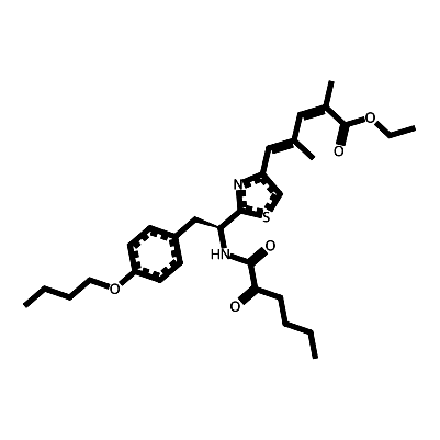 CCCCOc1ccc(C[C@H](NC(=O)C(=O)CCCC)c2nc(/C=C(C)/C=C(/C)C(=O)OCC)cs2)cc1